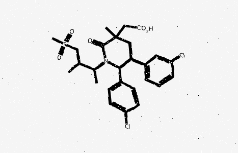 CC(CS(C)(=O)=O)C(C)N1C(=O)C(C)(CC(=O)O)CC(c2cccc(Cl)c2)C1c1ccc(Cl)cc1